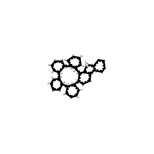 c1ccc2c(c1)oc1c2ccc2c3ccccc3c3ccccc3c3ccccc3c3ccccc3c21